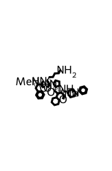 CN[C@@H](Cc1ccccc1)C(=O)N[C@@H](CCCCN)C(=O)N1CCC[C@H]1C(=O)C(C1CCCCC1)[C@@H](N)C(=O)N1CCN(c2ccccc2)CC1